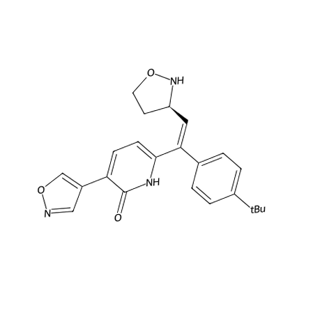 CC(C)(C)c1ccc(C(=C[C@H]2CCON2)c2ccc(-c3cnoc3)c(=O)[nH]2)cc1